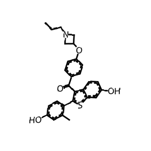 CCCN1CC(Oc2ccc(C(=O)c3c(-c4ccc(O)cc4C)sc4cc(O)ccc34)cc2)C1